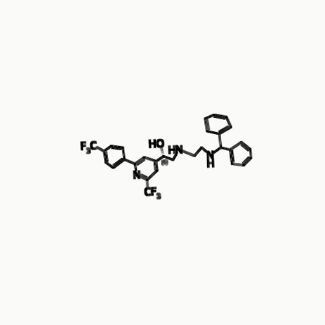 O[C@H](CNCCNC(c1ccccc1)c1ccccc1)c1cc(-c2ccc(C(F)(F)F)cc2)nc(C(F)(F)F)c1